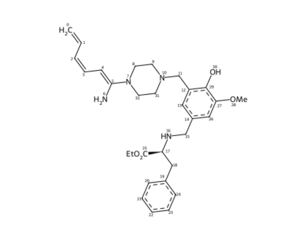 C=C/C=C\C=C(/N)N1CCN(Cc2cc(CN[C@@H](Cc3ccccc3)C(=O)OCC)cc(OC)c2O)CC1